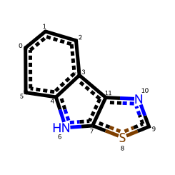 c1ccc2c(c1)[nH]c1scnc12